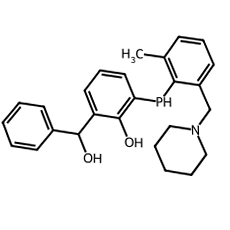 Cc1cccc(CN2CCCCC2)c1Pc1cccc(C(O)c2ccccc2)c1O